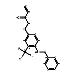 C=CC(=O)CCc1ccc(OCc2ccccc2)c(C(F)(F)F)c1